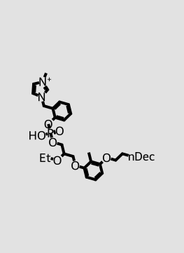 CCCCCCCCCCCCOc1cccc(OCC(COP(=O)(O)Oc2ccccc2Cn2cc[n+](C)c2)OCC)c1C